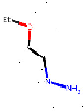 CCOCC[N]N